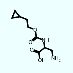 NCC(NC(=O)OCCC1CC1)C(=O)O